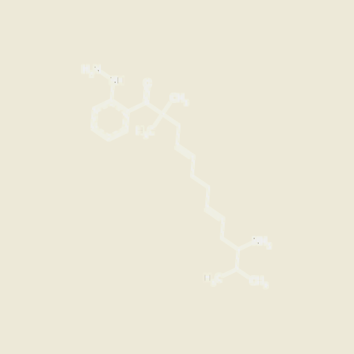 CC(C)C(N)CC=CCCC=CCC(C)(C)C(=O)c1ccccc1NN